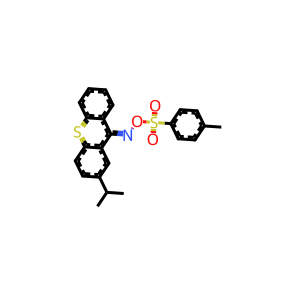 Cc1ccc(S(=O)(=O)O/N=c2\c3ccccc3sc3ccc(C(C)C)cc23)cc1